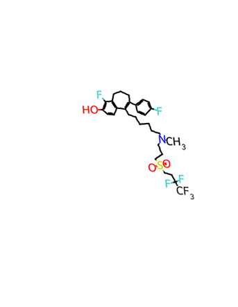 CN(CCCCCCC1=C(c2ccc(F)cc2)CCCc2c1ccc(O)c2F)CCCS(=O)(=O)CCC(F)(F)C(F)(F)F